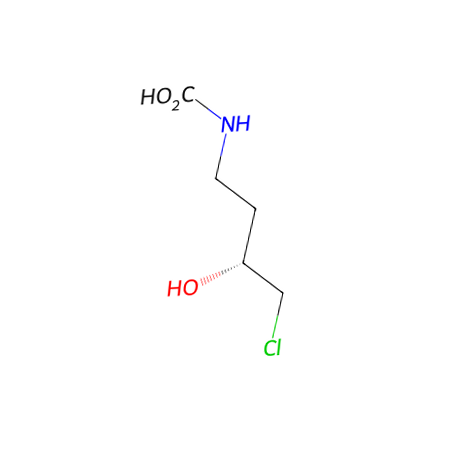 O=C(O)NCC[C@@H](O)CCl